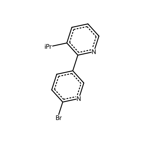 CC(C)c1cccnc1-c1ccc(Br)nc1